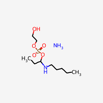 CCCCCNC(CC)OS(=O)(=O)OCCO.N